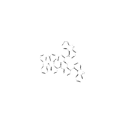 c1ccc2c(c1)-c1ccccc1C21c2ccccc2-c2c(-c3c4cccc(-c5cccc6sc7ccccc7c56)c4cc4c(-c5cccc6sc7ccccc7c56)cccc34)cccc21